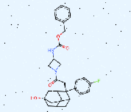 O=C(NC1CN(C(=O)C[C@]2(c3ccc(F)cc3)C3CC4CC2C[C@@](O)(C4)C3)C1)OCc1ccccc1